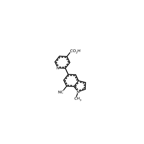 Cn1ccc2cc(-c3cc(C(=O)O)ccn3)cc(C#N)c21